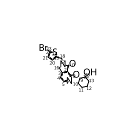 O=C1c2c(ccnc2OC2CCCCC2O)CN1Cc1ccc(Br)s1